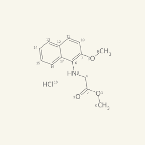 COC(=O)CNc1c(OC)ccc2ccccc12.Cl